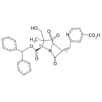 CC1(CO)[C@H](C(=O)OC(c2ccccc2)c2ccccc2)N2C(=O)/C(=C/c3cc(C(=O)O)ccn3)C2S1(=O)=O